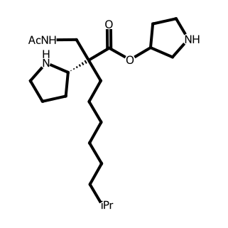 CC(=O)NCC(CCCCCCC(C)C)(C(=O)OC1CCNC1)[C@@H]1CCCN1